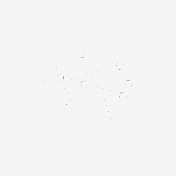 CO[C@@]1(c2ccc(C)c(Cc3ccc(-c4ccc(F)cc4)s3)c2)OC(CO)(CO)[C@@H](OCc2ccccc2)[C@H](OCc2ccccc2)[C@H]1OCc1ccccc1.CO[C@@]1(c2ccc(C)c(Cc3ccc(-c4ccc(F)cc4)s3)c2)O[C@@](C=O)(CO)[C@@H](OCc2ccccc2)[C@H](OCc2ccccc2)[C@H]1OCc1ccccc1